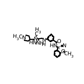 COc1ccccc1[C@@H](C#N)NC(=O)c1cccc(NCC2NNC(C3CCN(C)CC3)N2C)c1